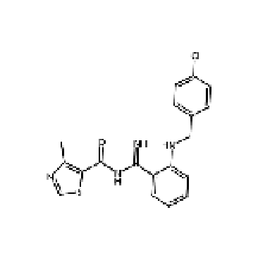 Cc1ncsc1C(=O)NC(=N)c1ccccc1NCc1ccc(Cl)cc1